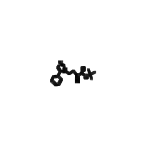 CC(C)(C)OC(=O)NCCn1cncc1-c1ccccc1